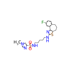 Cn1cnc(S(=O)(=O)NCCCCCNc2nc3c(s2)CCCc2ccc(F)cc2-3)c1